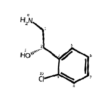 NC[C@@H](O)c1ccccc1Cl